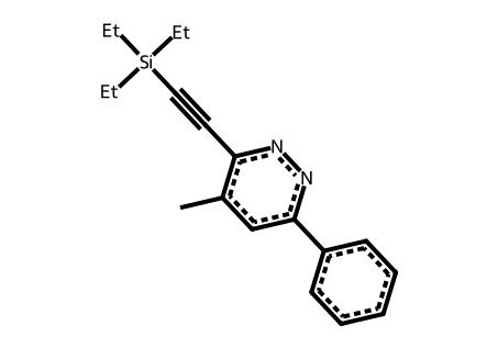 CC[Si](C#Cc1nnc(-c2ccccc2)cc1C)(CC)CC